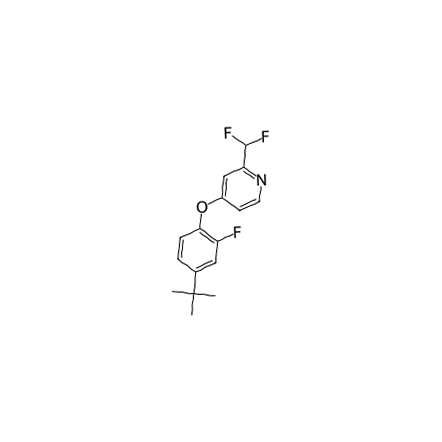 CC(C)(C)c1ccc(Oc2ccnc(C(F)F)c2)c(F)c1